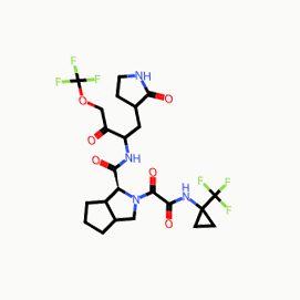 O=C(NC1(C(F)(F)F)CC1)C(=O)N1CC2CCCC2[C@H]1C(=O)NC(CC1CCNC1=O)C(=O)COC(F)(F)F